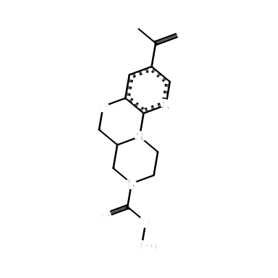 C=C(C)c1cnc2c(c1)OCC1CN(C(=O)OC(C)(C)C)CCN21